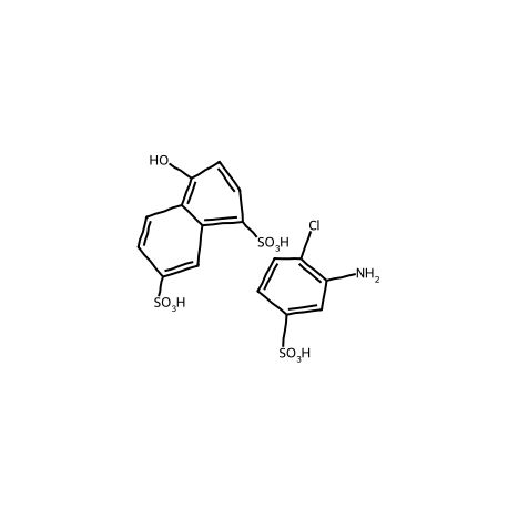 Nc1cc(S(=O)(=O)O)ccc1Cl.O=S(=O)(O)c1ccc2c(O)ccc(S(=O)(=O)O)c2c1